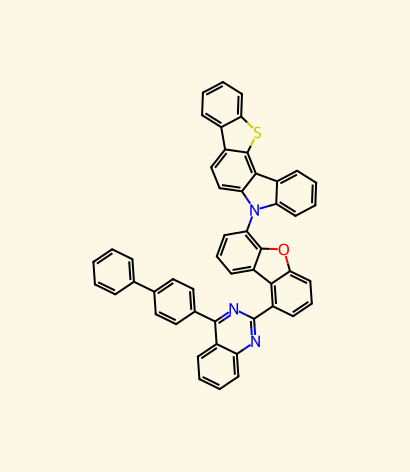 c1ccc(-c2ccc(-c3nc(-c4cccc5oc6c(-n7c8ccccc8c8c9sc%10ccccc%10c9ccc87)cccc6c45)nc4ccccc34)cc2)cc1